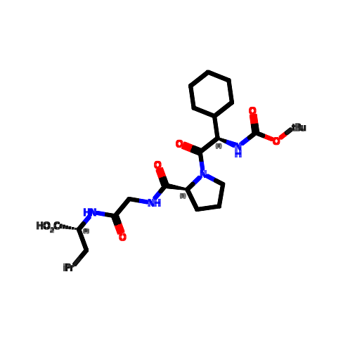 CC(C)C[C@@H](NC(=O)CNC(=O)[C@@H]1CCCN1C(=O)[C@H](NC(=O)OC(C)(C)C)C1CCCCC1)C(=O)O